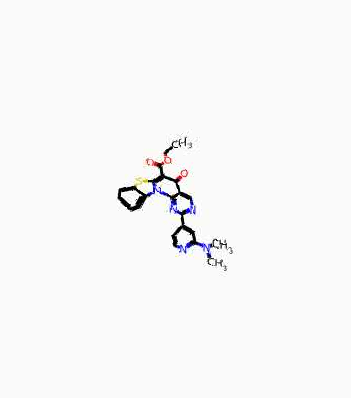 CCOC(=O)c1c(=O)c2cnc(-c3ccnc(N(C)C)c3)nc2n2c1sc1ccccc12